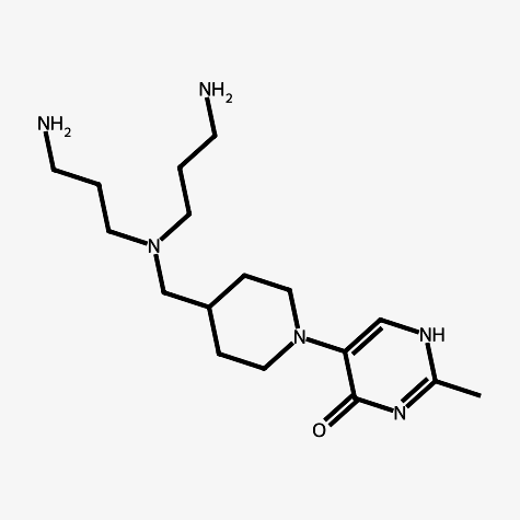 Cc1nc(=O)c(N2CCC(CN(CCCN)CCCN)CC2)c[nH]1